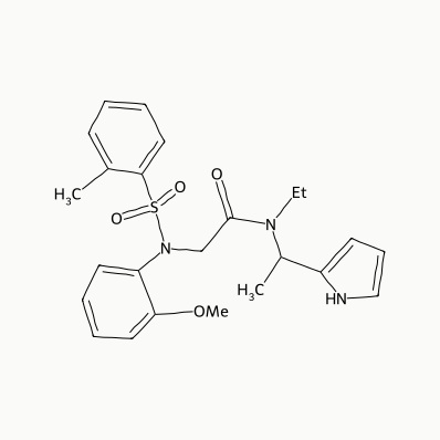 CCN(C(=O)CN(c1ccccc1OC)S(=O)(=O)c1ccccc1C)C(C)c1ccc[nH]1